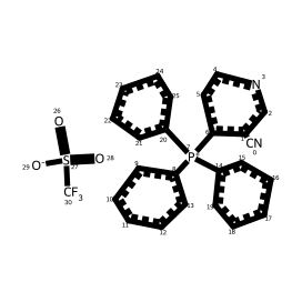 N#Cc1cnccc1[P+](c1ccccc1)(c1ccccc1)c1ccccc1.O=S(=O)([O-])C(F)(F)F